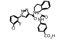 O=C(O)c1ccc(NC(=O)[C@H]2c3ccccc3CCN2C(=O)c2cn(-c3cccc(Cl)c3F)nn2)cc1